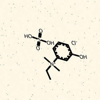 CC[N+](C)(C)c1cccc(O)c1.O=S(=O)(O)O.[Cl-]